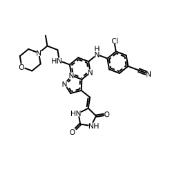 CC(CNc1cc(Nc2ccc(C#N)cc2Cl)nc2c(/C=C3\NC(=O)NC3=O)cnn12)N1CCOCC1